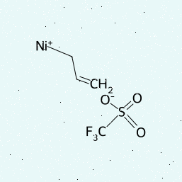 C=C[CH2][Ni+].O=S(=O)([O-])C(F)(F)F